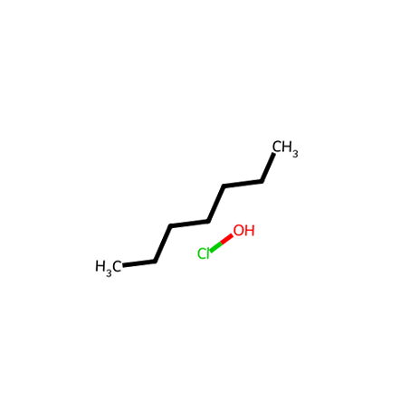 CCCCCCC.OCl